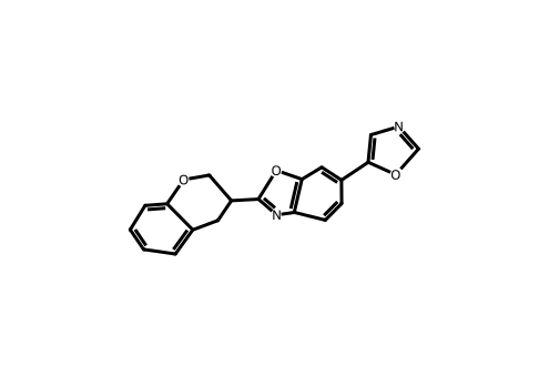 c1ccc2c(c1)CC(c1nc3ccc(-c4cnco4)cc3o1)CO2